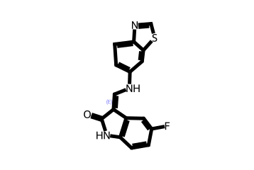 O=C1Nc2ccc(F)cc2/C1=C\Nc1ccc2ncsc2c1